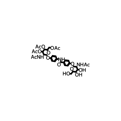 CC(=O)NC1C(O)[C@@H](O)C(CO)O[C@H]1Oc1ccc(C(=O)Nc2ccc(O[C@@H]3OC(COC(C)=O)[C@@H](OC(C)=O)C(OC(C)=O)C3NC(C)=O)cc2)cc1